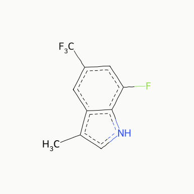 Cc1c[nH]c2c(F)cc(C(F)(F)F)cc12